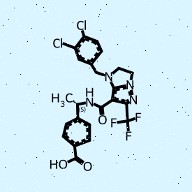 C[C@H](NC(=O)c1c(C(F)(F)F)nn2c1N(Cc1ccc(Cl)c(Cl)c1)CC2)c1ccc(C(=O)O)cc1